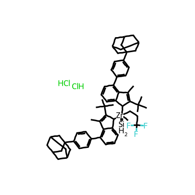 CC1=C(C(C)(C)C)[CH]([Zr]([CH3])(=[SiH2])([CH2]CC(F)(F)F)[CH]2C(C(C)(C)C)=C(C)c3c(-c4ccc(C56CC7CC(CC(C7)C5)C6)cc4)cccc32)c2cccc(-c3ccc(C45CC6CC(CC(C6)C4)C5)cc3)c21.Cl.Cl